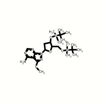 CSc1nn(C2CC(O[Si](C)(C)C(C)(C)C)C(CO[Si](C)(C)C(C)(C)C)O2)c2ncnc(N)c12